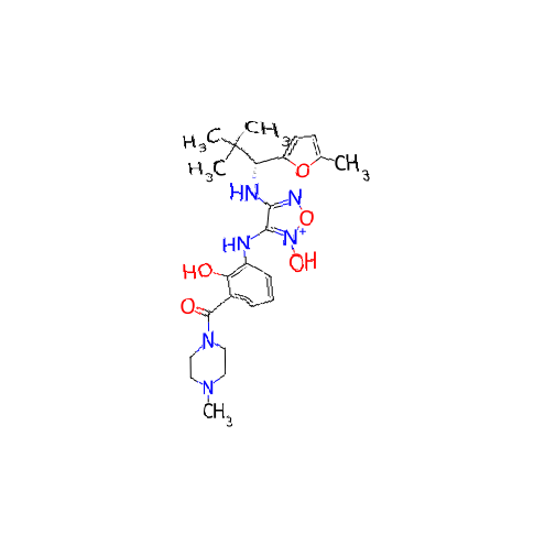 Cc1ccc([C@H](Nc2no[n+](O)c2Nc2cccc(C(=O)N3CCN(C)CC3)c2O)C(C)(C)C)o1